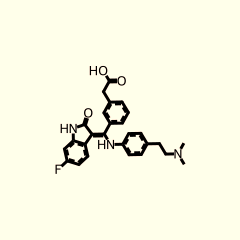 CN(C)CCc1ccc(NC(=C2C(=O)Nc3cc(F)ccc32)c2cccc(CC(=O)O)c2)cc1